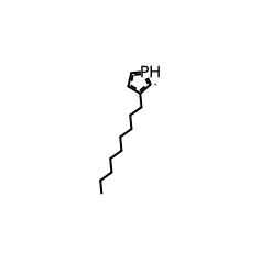 CCCCCCCCCc1[c][pH]cc1